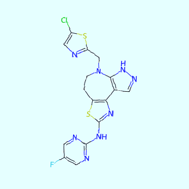 Fc1cnc(Nc2nc3c(s2)CCN(Cc2ncc(Cl)s2)c2[nH]ncc2-3)nc1